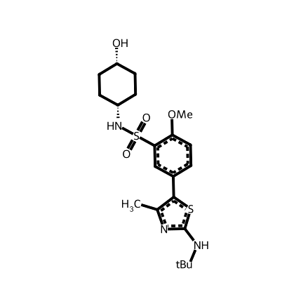 COc1ccc(-c2sc(NC(C)(C)C)nc2C)cc1S(=O)(=O)N[C@H]1CC[C@@H](O)CC1